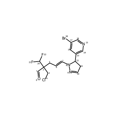 O=CC(CCl)(CC=CN1N=CCC1c1cncc(Br)c1)C(F)F